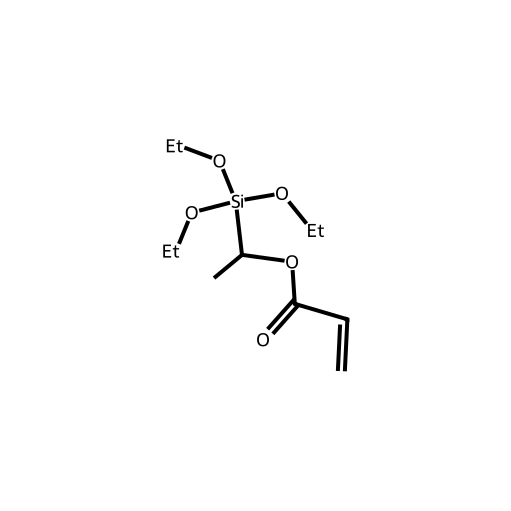 C=CC(=O)OC(C)[Si](OCC)(OCC)OCC